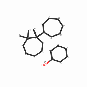 CC1(C)CCCCCC1(C)C1CCCCCC1.OC1CCCCC1